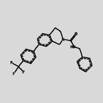 O=C(NCc1ccccc1)N1CCc2ccc(-c3ccc(C(F)(F)F)cc3)cc2C1